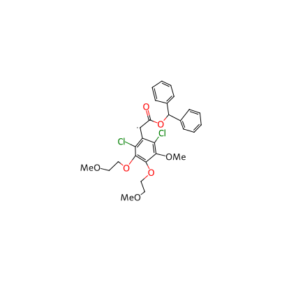 COCCOc1c(Cl)c([CH]C(=O)OC(c2ccccc2)c2ccccc2)c(Cl)c(OC)c1OCCOC